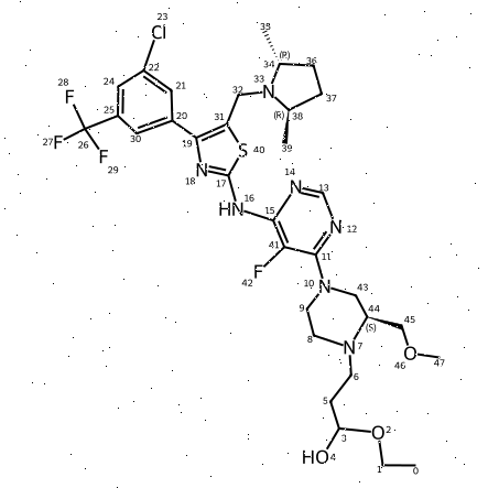 CCOC(O)CCN1CCN(c2ncnc(Nc3nc(-c4cc(Cl)cc(C(F)(F)F)c4)c(CN4[C@H](C)CC[C@H]4C)s3)c2F)C[C@H]1COC